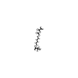 C=C(C)C(=O)OC(=O)OCCCCCCOC(=C)C(C)(C)Br